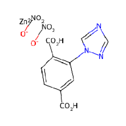 O=C(O)c1ccc(C(=O)O)c(-n2cncn2)c1.O=[N+]([O-])[O-].O=[N+]([O-])[O-].[Zn+2]